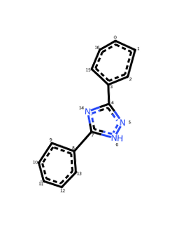 [c]1ccc(-c2n[nH]c(-c3cc[c]cc3)n2)cc1